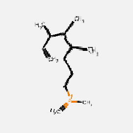 C=CC(C)C(C)C(C)CCC[PH](=C)C